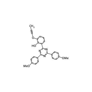 CC#COc1cccc(-c2nc(-c3ccc(OC)cc3)nc(-c3ccc(OC)cc3)n2)c1O